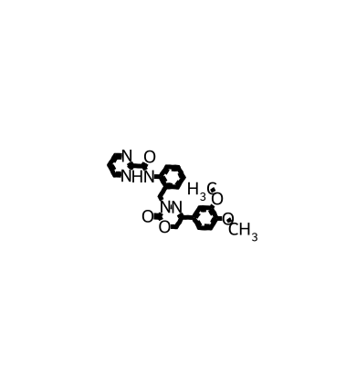 COc1ccc(C2=NN(Cc3ccccc3NC(=O)c3ncccn3)C(=O)OC2)cc1OC